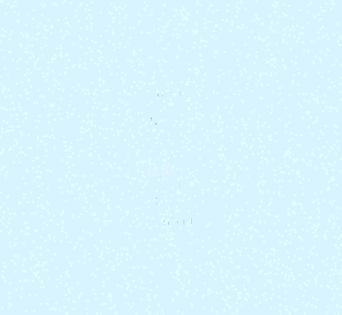 CCCCCCCCc1ccc(-c2ccc(OC(=O)c3ccc(CCCCC)cc3F)cc2)nc1